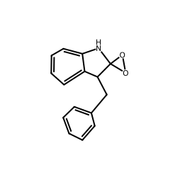 c1ccc(CC2c3ccccc3NC23OO3)cc1